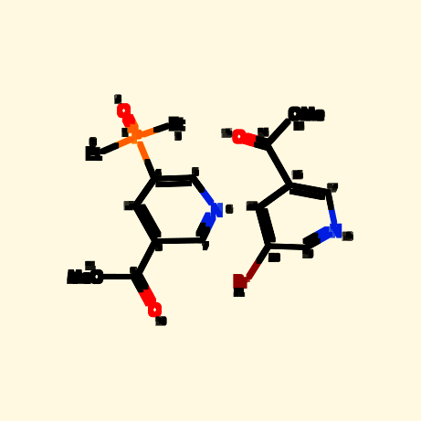 CCP(=O)(CC)c1cncc(C(=O)OC)c1.COC(=O)c1cncc(Br)c1